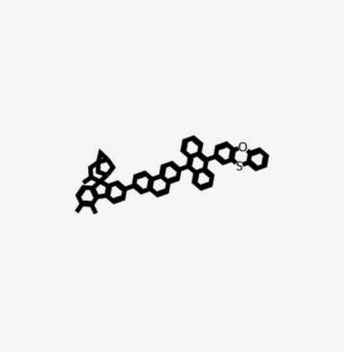 Cc1ccc2c(c1C)-c1ccc(-c3ccc4c(ccc5cc(-c6c7ccccc7c(-c7ccc8c(c7)Sc7ccccc7O8)c7ccccc67)ccc54)c3)cc1C21C(C)CC23CC2CC1C3